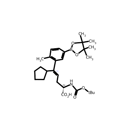 Cc1ccc(B2OC(C)(C)C(C)(C)O2)cc1/C(=C/C[C@H](NC(=O)OC(C)(C)C)C(=O)O)C1CCCC1